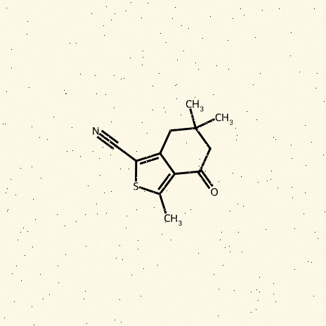 Cc1sc(C#N)c2c1C(=O)CC(C)(C)C2